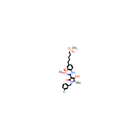 CCOP1(=O)N=C(C2=C(O)[C@H](C(C)(C)C)N(Cc3cccc(Cl)c3)C2=O)Nc2ccc(CCCCCS(C)(=O)=O)cc21